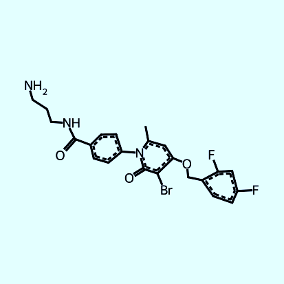 Cc1cc(OCc2ccc(F)cc2F)c(Br)c(=O)n1-c1ccc(C(=O)NCCCN)cc1